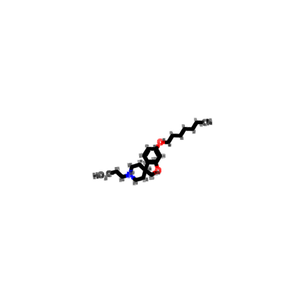 N#CCCCCCCOc1ccc2c(c1)OCC21CCN(CCC(=O)O)CC1